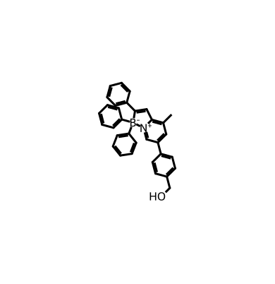 Cc1cc(-c2ccc(CO)cc2)c[n+]2c1C=C(c1ccccc1)[B-]2(c1ccccc1)c1ccccc1